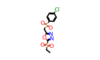 CCS(=O)(=O)c1nnc(CS(=O)(=O)c2ccc(Cl)cc2)o1